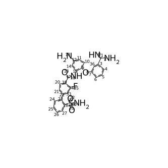 N=C(N)c1cccc(Oc2ccc(N)cc2NC(=O)c2ccc(-c3ccccc3S(N)(=O)=O)cc2F)c1